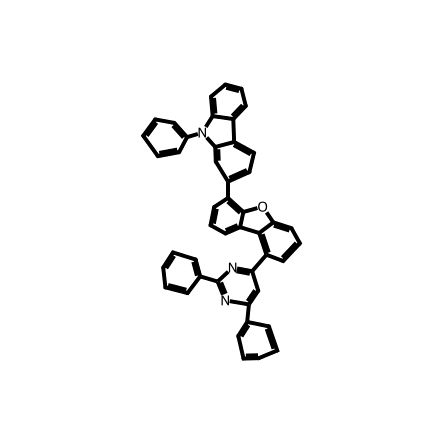 c1ccc(-c2cc(-c3cccc4oc5c(-c6ccc7c8ccccc8n(-c8ccccc8)c7c6)cccc5c34)nc(-c3ccccc3)n2)cc1